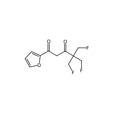 O=C(CC(=O)C(CF)(CF)CF)c1ccco1